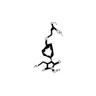 CC(C)=CCOc1ccc([C@H]2C(=O)N(O)C(=O)C2CC(C)C)cc1